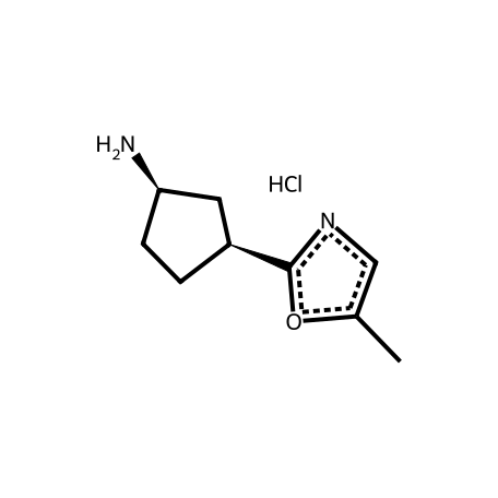 Cc1cnc([C@H]2CC[C@@H](N)C2)o1.Cl